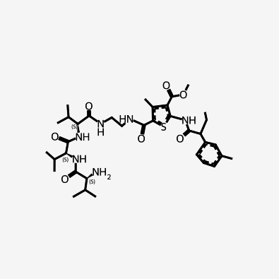 CCC(C(=O)Nc1sc(C(=O)NCCNC(=O)[C@@H](NC(=O)[C@@H](NC(=O)[C@@H](N)C(C)C)C(C)C)C(C)C)c(C)c1C(=O)OC)c1cccc(C)c1